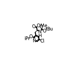 COC(=O)[C@H](Cc1cc(Cl)cnc1OC(C)C)NC(=O)OC(C)(C)C